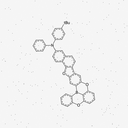 CC(C)(C)c1ccc(N(c2ccccc2)c2ccc3c(ccc4c5cc6c(cc5oc34)B3c4ccccc4Oc4cccc(c43)O6)c2)cc1